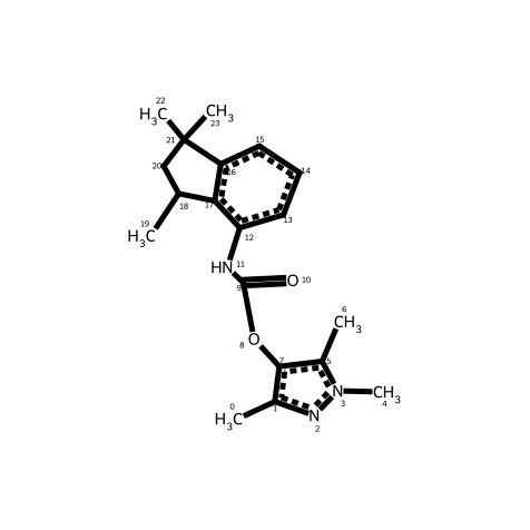 Cc1nn(C)c(C)c1OC(=O)Nc1cccc2c1C(C)CC2(C)C